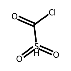 O=C(Cl)[SH](=O)=O